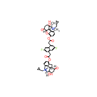 Cc1ccc(OC(=O)Cc2cc(F)cc3c(CC(=O)Oc4ccc5c6c4C[C@H]4C(=O)CC[C@@]7(O)[C@@H](C5)N(CC5CC5)CC[C@]647)cc(F)cc23)c2c1[C@]13CCN(CC4CC4)[C@H](C)[C@]1(O)CCC(=O)[C@@H]3O2